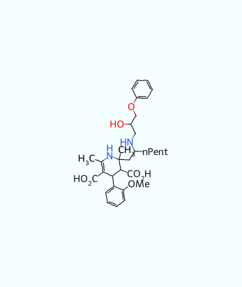 CCCCCC(CC1(C)NC(C)=C(C(=O)O)C(c2ccccc2OC)C1C(=O)O)NCC(O)COc1ccccc1